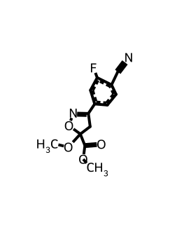 COC(=O)C1(OC)CC(c2ccc(C#N)c(F)c2)=NO1